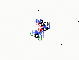 N#CC(C[C@@H]1CCCNC1=O)NC(=O)C(CC1CC1)NC(=O)c1nc2c(Cl)ccc(Cl)c2[nH]1